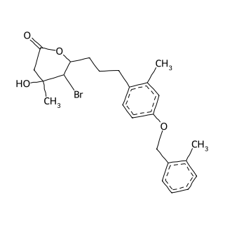 Cc1cc(OCc2ccccc2C)ccc1CCCC1OC(=O)CC(C)(O)C1Br